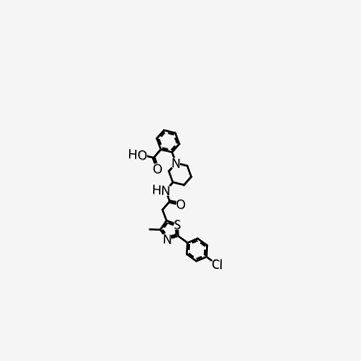 Cc1nc(-c2ccc(Cl)cc2)sc1CC(=O)NC1CCCN(c2ccccc2C(=O)O)C1